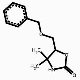 CC1(C)NC(=O)OC1COCc1ccccc1